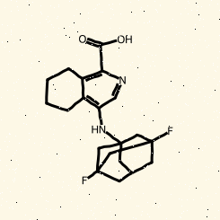 O=C(O)c1ncc(NC23CC4CC(F)(CC(F)(C4)C2)C3)c2c1CCCC2